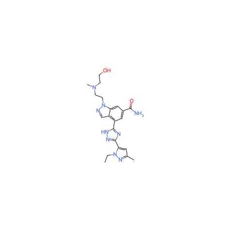 CCn1nc(C)cc1-c1n[nH]c(-c2cc(C(N)=O)cc3c2cnn3CCN(C)CCO)n1